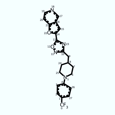 FC(F)(F)c1ccc(N2CCC(Cc3noc(-c4cc5cnccc5o4)n3)CC2)cc1